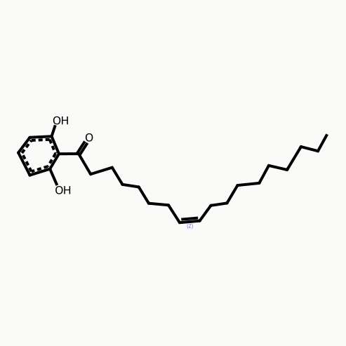 CCCCCCCCC/C=C\CCCCCCC(=O)c1c(O)cccc1O